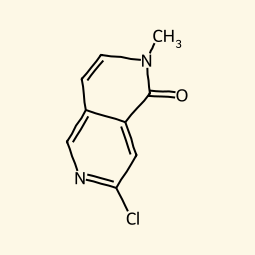 Cn1ccc2cnc(Cl)cc2c1=O